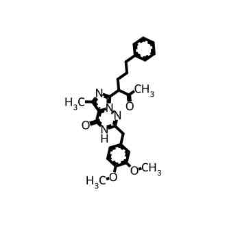 COc1ccc(Cc2nn3c(C(CCCc4ccccc4)C(C)=O)nc(C)c3c(=O)[nH]2)cc1OC